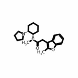 Cc1oc2ccccc2c1CC(=O)N(C)[C@@H]1CCCC[C@H]1N1CCCC1